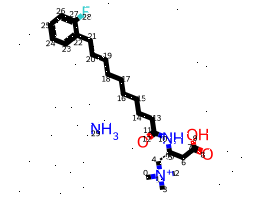 C[N+](C)(C)C[C@@H](CC(=O)O)NC(=O)CCCCCCCCCc1ccccc1F.N